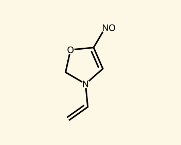 C=CN1C=C(N=O)OC1